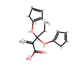 C=C(C(=O)O)C(CC)(OC1=CC=CC1)OC1=CC=CC1